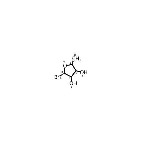 C[C@@H]1O[C@H](Br)C(O)C1O